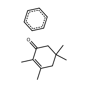 CC1=C(C)C(=O)CC(C)(C)C1.c1ccccc1